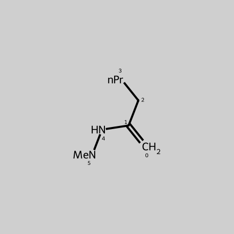 C=C(CCCC)NNC